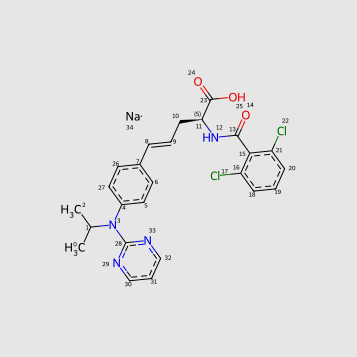 CC(C)N(c1ccc(C=CC[C@H](NC(=O)c2c(Cl)cccc2Cl)C(=O)O)cc1)c1ncccn1.[Na]